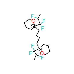 CC(F)C(F)(F)[Si]1(CCCC[Si]2(C(F)(F)C(C)F)CCCCO2)CCCCO1